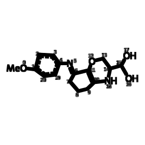 COc1ccc(/N=C2\CCCC3=C2OCC(C(O)O)N3)cc1